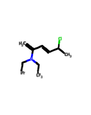 C=C(/C=C/C(C)Cl)N(CC(C)C)CC(F)(F)F